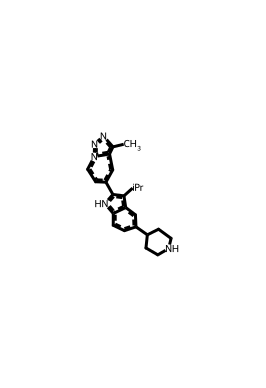 Cc1nnn2ccc(-c3[nH]c4ccc(C5CCNCC5)cc4c3C(C)C)cc12